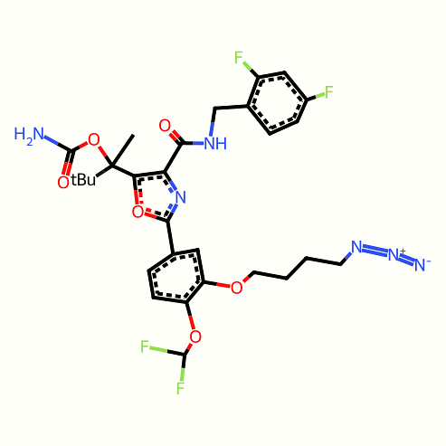 CC(C)(C)C(C)(OC(N)=O)c1oc(-c2ccc(OC(F)F)c(OCCCCN=[N+]=[N-])c2)nc1C(=O)NCc1ccc(F)cc1F